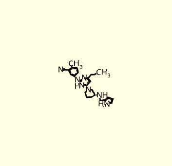 CCCc1cc(N2CCC[C@H](NCc3ccc[nH]3)C2)nc(Nc2ccc(C)c(C#N)c2)n1